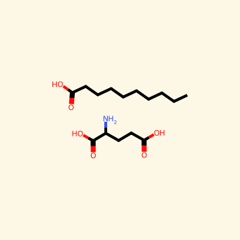 CCCCCCCCCC(=O)O.NC(CCC(=O)O)C(=O)O